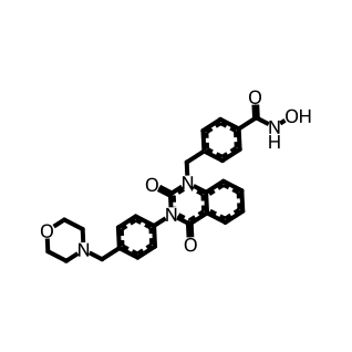 O=C(NO)c1ccc(Cn2c(=O)n(-c3ccc(CN4CCOCC4)cc3)c(=O)c3ccccc32)cc1